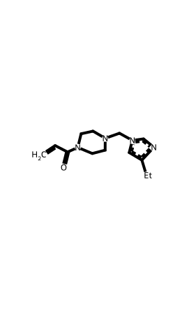 C=CC(=O)N1CCN(Cn2cnc(CC)c2)CC1